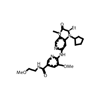 CC[C@@H]1C(=O)N(C)c2cnc(Nc3ncc(C(=O)NCCOC)cc3OC)cc2N1C1CCCC1